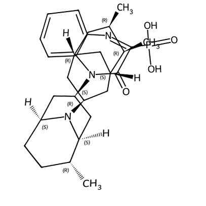 C[C@H]1[C@H]2C[C@H](C[C@H](N3[C@H]4CC[C@@H](C)[C@@H]3C[C@H](n3c(=O)c(P(=O)(O)O)nc5ccccc53)C4)C2)C[C@H]1C